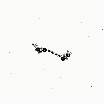 CCOc1cc2oc(-c3ccc(OCCOCCOCCOCCOc4cccc5c4C(=O)N(C4CCC(=O)NC4=O)C5=O)cc3Cl)cc(=O)c2cc1I